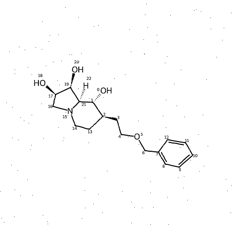 O[C@@H]1[C@@H](CCOCc2ccccc2)CCN2C[C@@H](O)[C@@H](O)[C@@H]12